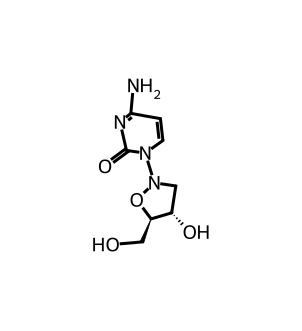 Nc1ccn(N2C[C@H](O)[C@@H](CO)O2)c(=O)n1